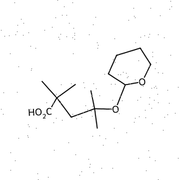 CC(C)(CC(C)(C)C(=O)O)OC1CCCCO1